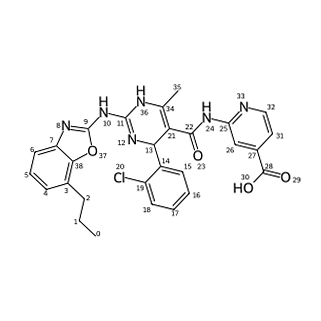 CCCc1cccc2nc(NC3=NC(c4ccccc4Cl)C(C(=O)Nc4cc(C(=O)O)ccn4)=C(C)N3)oc12